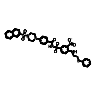 O=C(NS(=O)(=O)c1ccc(NCCSc2ccccc2)c([N+](=O)[O-])c1)c1ccc(N2CCN(S(=O)(=O)c3ccc4ccccc4c3)CC2)cc1